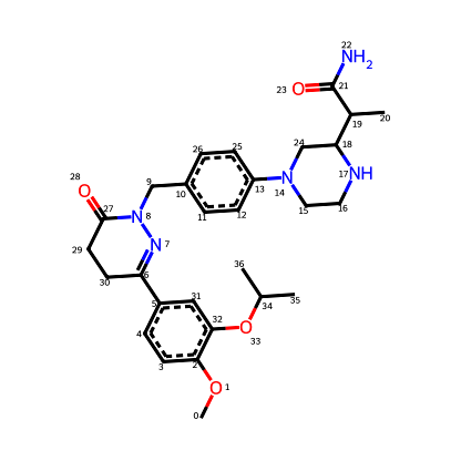 COc1ccc(C2=NN(Cc3ccc(N4CCNC(C(C)C(N)=O)C4)cc3)C(=O)CC2)cc1OC(C)C